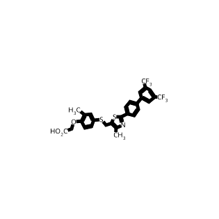 Cc1cc(SCc2sc(-c3ccc(-c4cc(C(F)(F)F)cc(C(F)(F)F)c4)cc3)nc2C)ccc1OCC(=O)O